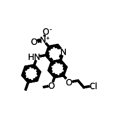 COc1cc2c(Nc3ccc(C)cc3)c([N+](=O)[O-])cnc2cc1OCCCl